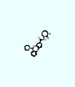 O=C(NC1CCCCNC1=O)c1ccc2c(c1)N=C(N1CCCCC1)c1ccccc1S2